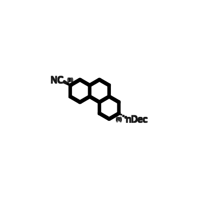 CCCCCCCCCC[C@@H]1CCC2C(CCC3C[C@H](C#N)CCC32)C1